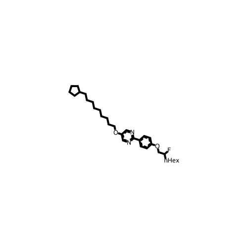 CCCCCCC(F)COc1ccc(-c2ncc(OCCCCCCCCCC3CCCC3)cn2)cc1